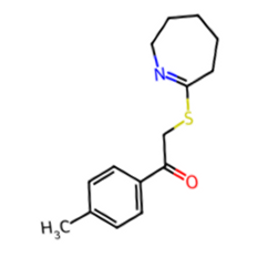 Cc1ccc(C(=O)CSC2=NCCCCC2)cc1